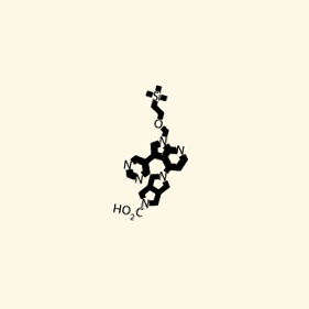 C[Si](C)(C)CCOCn1cc(-c2cncnc2)c2c(N3CC4CN(C(=O)O)CC4C3)ccnc21